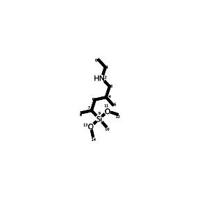 CCNCC(C)CC(C)[Si](C)(OC)OC